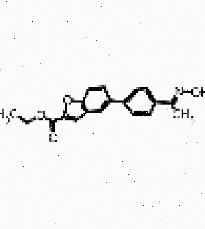 CCOC(=O)c1cc2cc(-c3ccc(/C(C)=N/O)cc3)ccc2o1